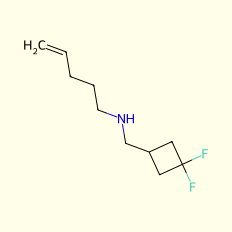 C=CCCCNCC1CC(F)(F)C1